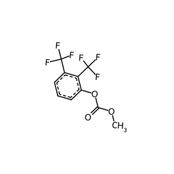 COC(=O)Oc1cccc(C(F)(F)F)c1C(F)(F)F